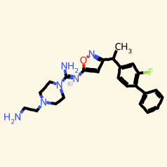 CC(c1ccc(-c2ccccc2)c(F)c1)c1cc(/N=C(\N)N2CCN(CCN)CC2)on1